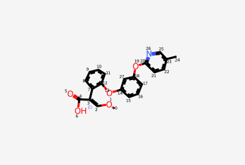 CO/C=C(/C(=O)O)c1ccccc1Oc1cccc(Oc2ccc(C)cn2)c1